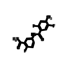 NC(=O)c1cc(NC(=O)c2cc(F)c(C(F)(F)F)cc2F)ccc1F